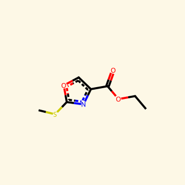 CCOC(=O)c1coc(SC)n1